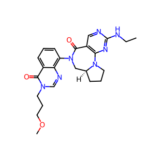 CCNc1ncc2c(n1)N1CCC[C@H]1CN(c1cccc3c(=O)n(CCCOC)cnc13)C2=O